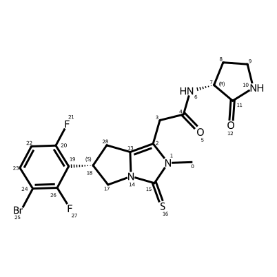 Cn1c(CC(=O)N[C@@H]2CCNC2=O)c2n(c1=S)C[C@H](c1c(F)ccc(Br)c1F)C2